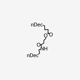 CCCCCCCCCCCCCC(=O)OCCCC(=O)NCCCCCCCCCCCC